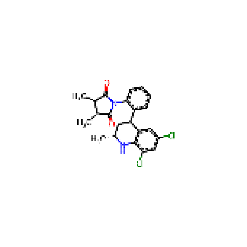 C[C@@H]1CC(c2ccccc2N2C(=O)[C@@H](C)[C@@H](C)C2=O)c2cc(Cl)cc(Cl)c2N1